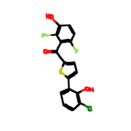 O=C(c1ccc(-c2cccc(Cl)c2O)s1)c1c(F)ccc(O)c1F